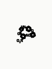 O=C(c1cc([N+](=O)[O-])cc([N+](=O)[O-])c1)N1CCC(Nc2ccc(Oc3ccccc3)cc2)C1